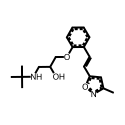 Cc1cc(C=Cc2ccccc2OCC(O)CNC(C)(C)C)on1